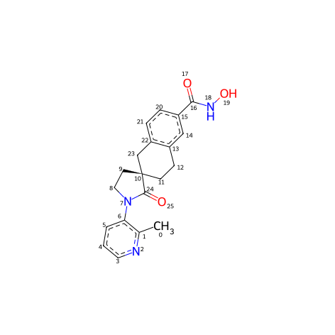 Cc1ncccc1N1CC[C@@]2(CCc3cc(C(=O)NO)ccc3C2)C1=O